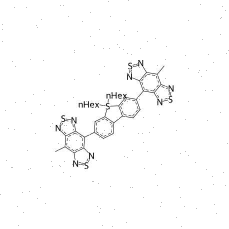 CCCCCCS1(CCCCCC)c2cc(-c3c4c(c(C)c5nsnc35)N=S=N4)ccc2-c2ccc(-c3c4c(c(C)c5nsnc35)N=S=N4)cc21